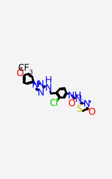 CN1C(=O)CS/C1=N\C(=O)Nc1ccc(CNc2ncn(-c3ccc(OC(F)(F)F)cc3)n2)c(Cl)c1